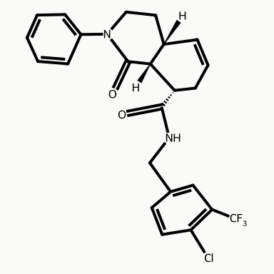 O=C(NCc1ccc(Cl)c(C(F)(F)F)c1)[C@H]1CC=C[C@H]2CCN(c3ccccc3)C(=O)[C@@H]12